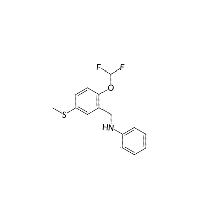 CSc1ccc(OC(F)F)c(CNc2[c]cccc2)c1